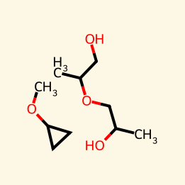 CC(O)COC(C)CO.COC1CC1